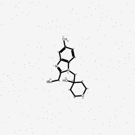 Cc1ccc2c(c1)nc(CC(C)(C)C)n2CC1(O)CCOCC1